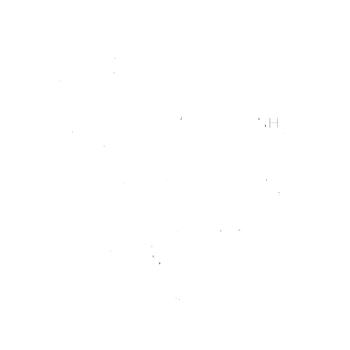 CC(N)Cc1cc(C(=O)N(O)C(C)C)cc2ccoc12.Cl